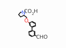 O=Cc1cccc(-c2cccc(OCC3CCCN3C(=O)O)c2)c1